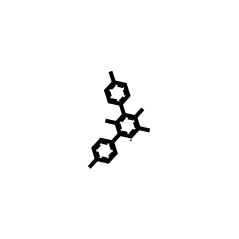 Cc1ccc(-c2[c]c(C)c(C)c(-c3ccc(C)cc3)c2C)cc1